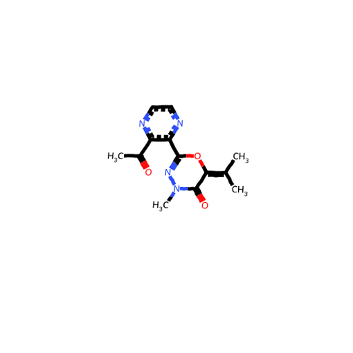 CC(=O)c1nccnc1C1=NN(C)C(=O)C(=C(C)C)O1